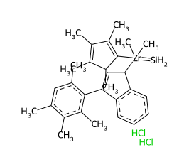 CC1=C(C)C(C)[C]([Zr]([CH3])([CH3])(=[SiH2])[CH]2C=C(c3c(C)cc(C)c(C)c3C)c3ccccc32)=C1C.Cl.Cl